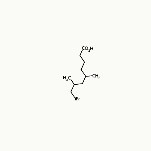 CC(C)CC(C)CC(C)CCCC(=O)O